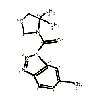 Cc1ccc2nnn(C(=O)N3COCC3(C)C)c2c1